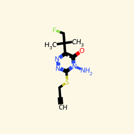 C#CCSc1nnc(C(C)(C)CF)c(=O)n1N